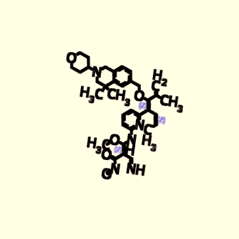 C=C(C)/C(OCc1ccc2c(c1)C(C)(C)CN(C1CCOCC1)C2)=C(\C=C/C)c1cccc(N/C(OC)=C(\C=N)C(=O)N=O)n1